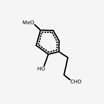 COc1ccc(CCC=O)c(O)c1